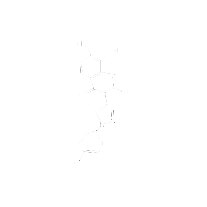 O=c1c(-c2cnn(-c3ccc(Cl)cc3)c2)c(C(F)(F)F)oc2c(O)c(O)ccc12